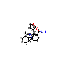 CO[C@@]1(c2cccc(C(N)=O)c2)[C@@H]2CCC[C@H]1CN(C[C@@H]1CCOC1)C2